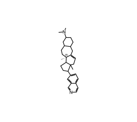 CN(C)C1CCC2CC3=CCC4(C)C(c5ccc6ccncc6c5)CCC4[C@@]3(C)CCC2C1